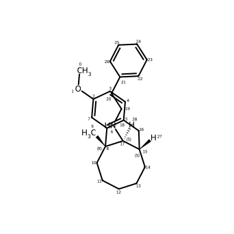 COc1ccc2c(c1)[C@@]1(C)CCCCC[C@@H](C2)[C@@H]1NCCc1ccccc1